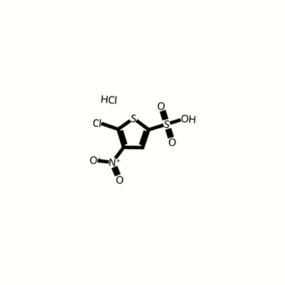 Cl.O=[N+]([O-])c1cc(S(=O)(=O)O)sc1Cl